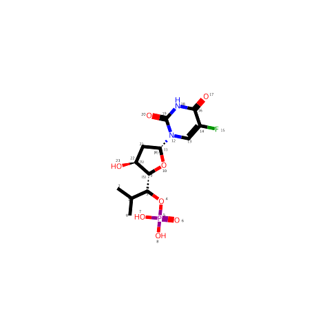 CC(C)C(OP(=O)(O)O)[C@H]1O[C@@H](n2cc(F)c(=O)[nH]c2=O)C[C@@H]1O